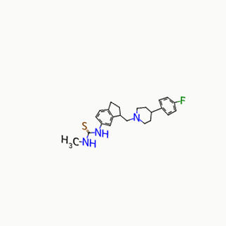 CNC(=S)Nc1ccc2c(c1)C(CN1CCC(c3ccc(F)cc3)CC1)CC2